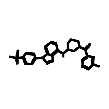 Cc1cncc(C(=O)N2CCCC(Nc3ncnc4c3cnn4-c3ccc(S(C)(=O)=O)cc3)C2)c1